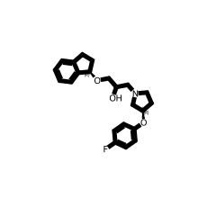 OC(CO[C@@H]1CCc2ccccc21)CN1CC[C@@H](Oc2ccc(F)cc2)C1